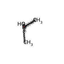 CCCCCCCCCCCCCCN(CCO)CCCCCCCCCCCC